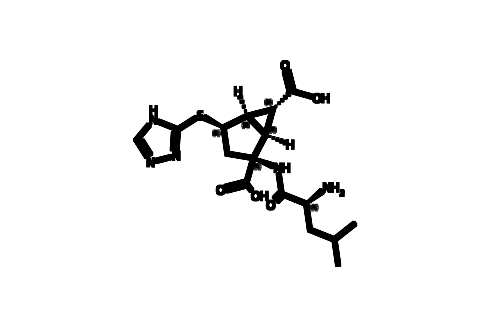 CC(C)C[C@H](N)C(=O)N[C@@]1(C(=O)O)C[C@@H](Sc2nnc[nH]2)[C@H]2[C@H](C(=O)O)[C@H]21